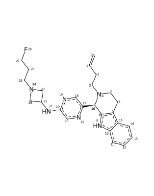 C=CCCN1CCc2c([nH]c3ccccc23)[C@H]1c1cnc(NC2CN(CCCF)C2)cn1